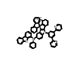 CC1CC=CC2=C1C1(c3ccccc3-c3ccccc31)c1c2n(-c2cc(-c3ccccn3)cc(-c3ccccn3)c2)c2ccc(N(c3ccccc3)c3cccc4c3oc3ccccc34)cc12